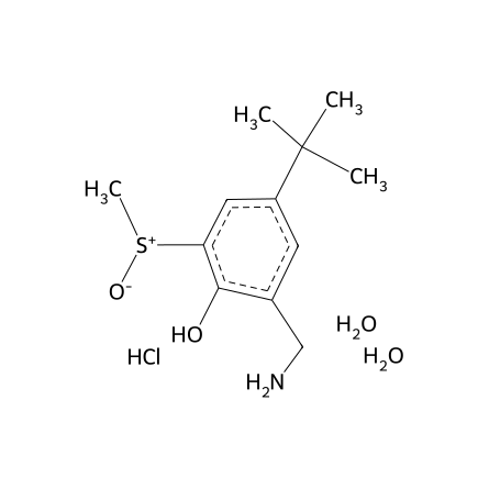 C[S+]([O-])c1cc(C(C)(C)C)cc(CN)c1O.Cl.O.O